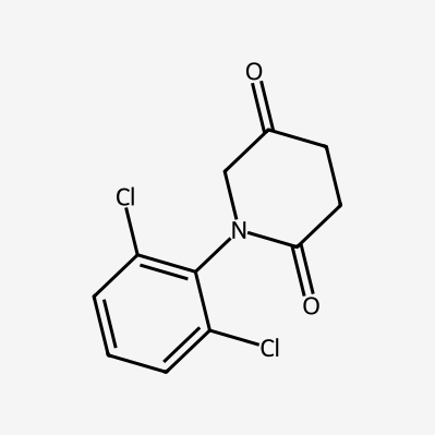 O=C1CCC(=O)N(c2c(Cl)cccc2Cl)C1